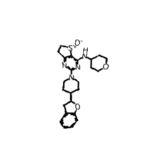 [O-][S+]1CCc2nc(N3CCC(C4Cc5ccccc5O4)CC3)nc(NC3CCOCC3)c21